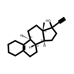 C#CC1(O)CC[C@H]2[C@@H]3CCC4=C(CCCC4)[C@H]3CC[C@@]21C